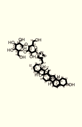 CC1=C2C[C@H]3[C@@H](CC=C4C[C@@H](O)CC[C@@]43C)[C@@H]2CC[C@]12O[C@@H]1C[C@H](C)CN(Cc3cn([C@@H]4OC(CO)[C@@H](O[C@@H]5OC(CO)[C@H](O)C(O)[C@@H]5O)C(O)[C@@H]4O)nn3)[C@H]1[C@H]2C